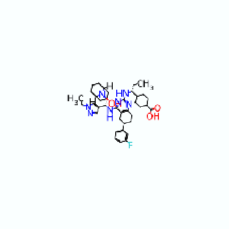 CC[C@@H](Nc1nc2c(c(N[C@@H](CN3[C@@H]4CCC[C@H]3CC(O)C4)c3cnn(CC)c3)n1)C[C@H](c1cccc(F)c1)CC2)C1CCC(C(=O)O)CC1